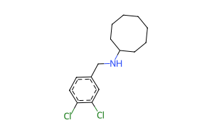 Clc1ccc(CNC2CCCCCCC2)cc1Cl